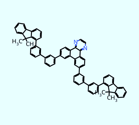 CC1(C)c2ccccc2-c2cccc(-c3cccc(-c4cccc(-c5ccc6c(c5)c5cc(-c7cccc(-c8cccc(-c9cccc%10c9C(C)(C)c9ccccc9-%10)c8)c7)ccc5c5nccnc65)c4)c3)c21